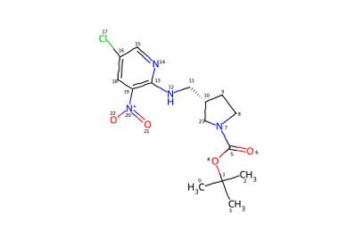 CC(C)(C)OC(=O)N1CC[C@@H](CNc2ncc(Cl)cc2[N+](=O)[O-])C1